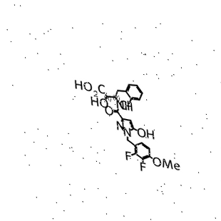 COc1ccc(Cn2nc(C(=O)N[C@H](Cc3ccccc3Cl)[C@@H](O)C(=O)O)cc2O)c(F)c1F